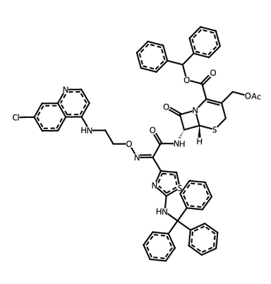 CC(=O)OCC1=C(C(=O)OC(c2ccccc2)c2ccccc2)N2C(=O)[C@@H](NC(=O)C(=NOCCNc3ccnc4cc(Cl)ccc34)c3csc(NC(c4ccccc4)(c4ccccc4)c4ccccc4)n3)[C@H]2SC1